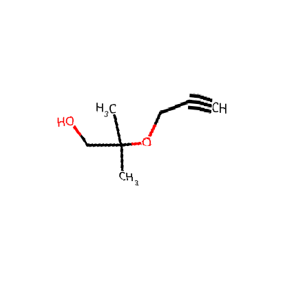 C#CCOC(C)(C)CO